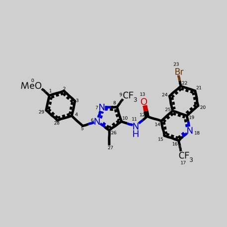 COc1ccc(Cn2nc(C(F)(F)F)c(NC(=O)c3cc(C(F)(F)F)nc4ccc(Br)cc34)c2C)cc1